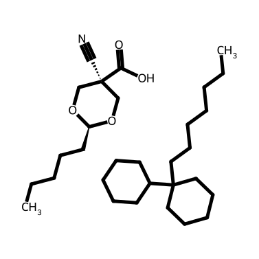 CCCCCCCC1(C2CCCCC2)CCCCC1.CCCCC[C@H]1OC[C@@](C#N)(C(=O)O)CO1